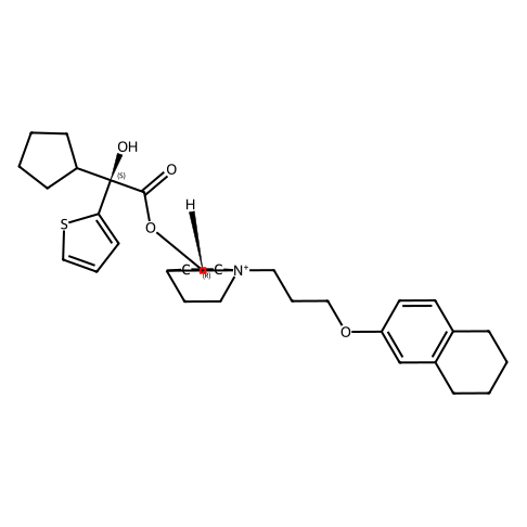 O=C(O[C@H]1C[N+]2(CCCOc3ccc4c(c3)CCCC4)CCC1CC2)[C@](O)(c1cccs1)C1CCCC1